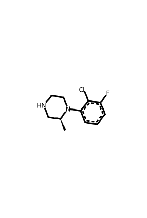 C[C@H]1CNCCN1c1cccc(F)c1Cl